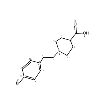 O=C(O)C1CCN(CCc2ccc(Br)cc2)CC1